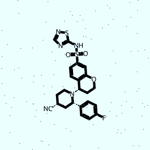 N#C[C@@H]1CCN([C@H]2CCOc3cc(S(=O)(=O)Nc4ncns4)ccc32)[C@H](c2ccc(F)cc2)C1